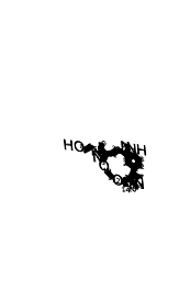 Cc1c2c(nn1CCO)OCCOC(C)c1c(cnn1C)-c1ccc3[nH]nc(c3c1)/C=C/2